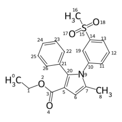 CCOC(=O)c1cc(C)n(-c2cccc(S(C)(=O)=O)c2)c1-c1ccccc1